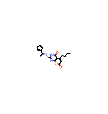 CCCCc1cc(=O)oc2nc(O/N=C(\C)C3=CCC=C3)[nH]c(=O)c12